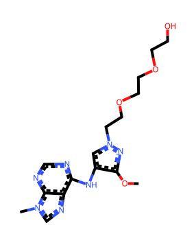 COc1nn(CCOCCOCCO)cc1Nc1ncnc2c1ncn2C